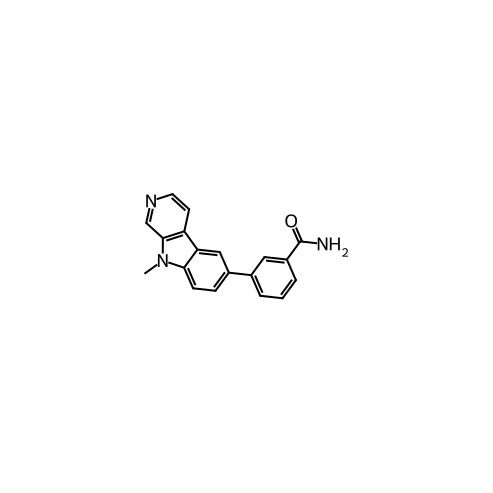 Cn1c2ccc(-c3cccc(C(N)=O)c3)cc2c2ccncc21